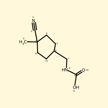 CC1(C#N)CCC(CNC(=O)O)CC1